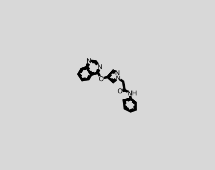 O=C(Cn1cc(Oc2ncnc3ccccc23)cn1)Nc1ccccc1